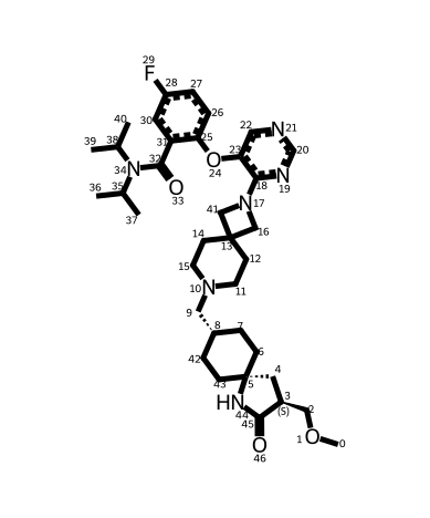 COC[C@@H]1C[C@]2(CC[C@@H](CN3CCC4(CC3)CN(c3ncncc3Oc3ccc(F)cc3C(=O)N(C(C)C)C(C)C)C4)CC2)NC1=O